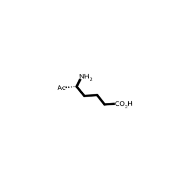 CC(=O)[C@H](N)CCCC(=O)O